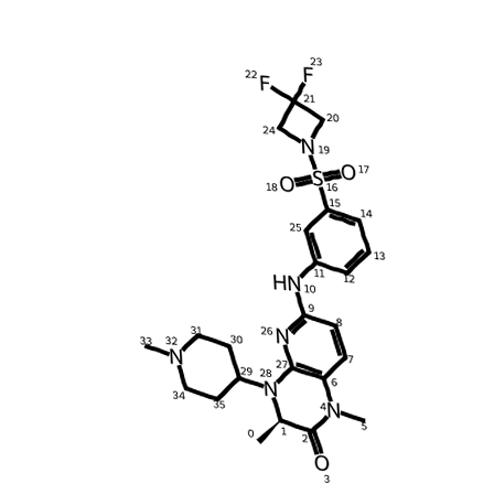 C[C@@H]1C(=O)N(C)c2ccc(Nc3cccc(S(=O)(=O)N4CC(F)(F)C4)c3)nc2N1C1CCN(C)CC1